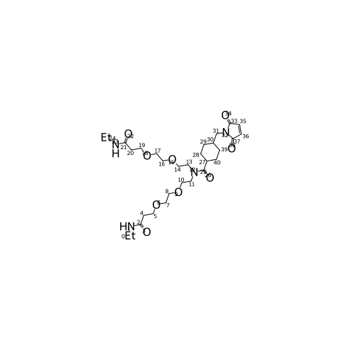 CCNC(=O)CCOCCOCCN(CCOCCOCCC(=O)NCC)C(=O)C1CCC(CN2C(=O)C=CC2=O)CC1